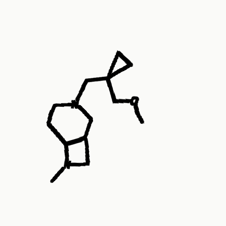 COCC1(CN2CCC3C(C2)CN3C)CC1